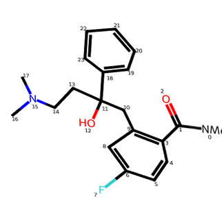 CNC(=O)c1ccc(F)cc1CC(O)(CCN(C)C)c1ccccc1